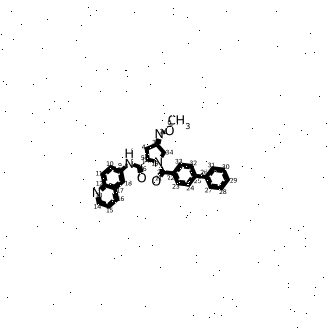 CON=C1C[C@@H](C(=O)Nc2ccc3ncccc3c2)N(C(=O)c2ccc(-c3ccccc3)cc2)C1